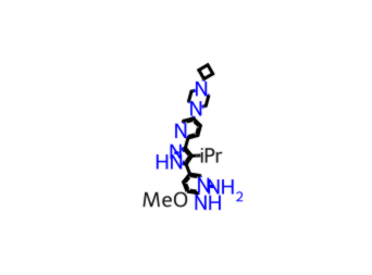 COc1cc(-c2[nH]nc(-c3ccc(N4CCN(C5CCC5)CC4)cn3)c2C(C)C)cn(N)c1=N